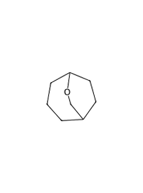 C1CC2CCC(C1)OC2